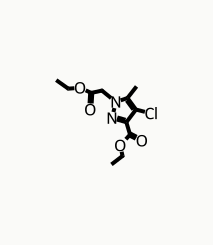 CCOC(=O)Cn1nc(C(=O)OCC)c(Cl)c1C